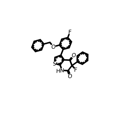 O=C1Nc2scc(-c3ccc(F)cc3OCc3ccccc3)c2C(=O)C1(F)c1ccccc1